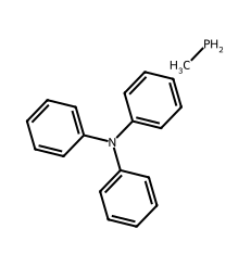 CP.c1ccc(N(c2ccccc2)c2ccccc2)cc1